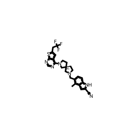 Cc1c(CN2CC[C@@]3(CCN(c4ncnc5sc(CC(F)(F)F)cc45)C3)C2)ccc2[nH]c(C#N)cc12